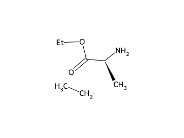 CCOC(=O)[C@H](C)N.[CH2]C